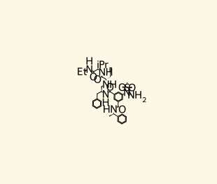 C#CC[C@H](NC[C@H](Cc1ccccc1)NC(=O)c1cc(C(=O)N[C@H](C)c2ccccc2)cc(N(N)S(C)(=O)=O)c1)C(=O)N[C@H](C(=O)NCC)C(C)C